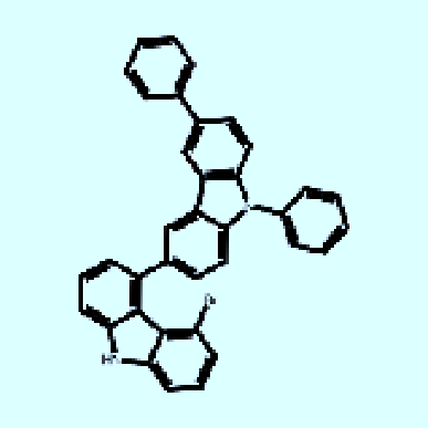 Brc1cccc2[nH]c3cccc(-c4ccc5c(c4)c4cc(-c6ccccc6)ccc4n5-c4ccccc4)c3c12